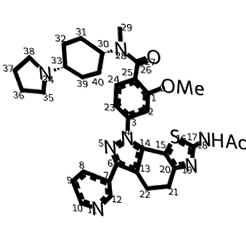 COc1cc(-n2nc(-c3cccnc3)c3c2-c2sc(NC(C)=O)nc2CC3)ccc1C(=O)N(C)[C@H]1CC[C@@H](N2CCCC2)CC1